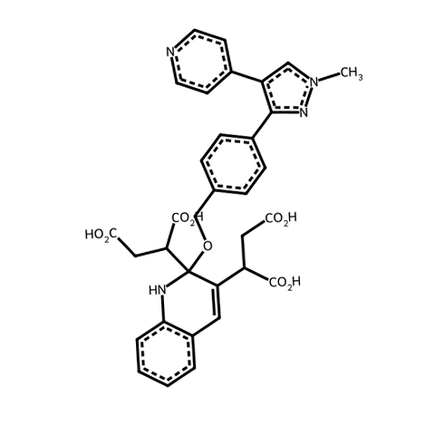 Cn1cc(-c2ccncc2)c(-c2ccc(COC3(C(CC(=O)O)C(=O)O)Nc4ccccc4C=C3C(CC(=O)O)C(=O)O)cc2)n1